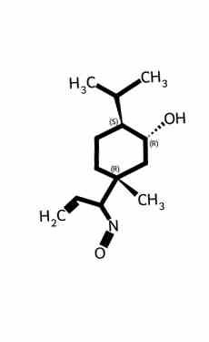 C=CC(N=O)[C@]1(C)CC[C@@H](C(C)C)[C@H](O)C1